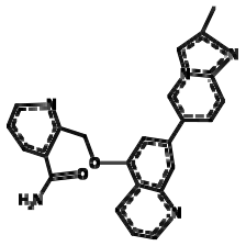 Cc1cn2cc(-c3cc(OCc4ncccc4C(N)=O)c4cccnc4c3)ccc2n1